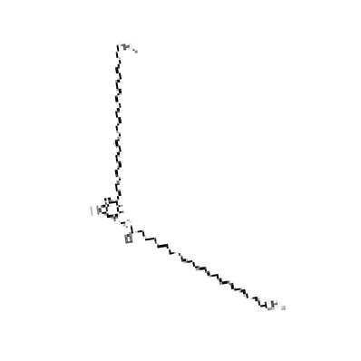 CCCCCCCCCCCCCCCCCCCCCC(=O)OC[C@H](CO)OC(=O)CCCCCCCCCCCCCCCCCCCCC